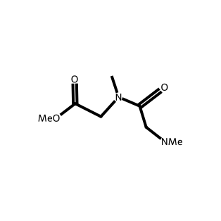 CNCC(=O)N(C)CC(=O)OC